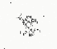 Cc1noc(C)c1-c1cc(C)c2c(c1)nc(C1CC1)n2C